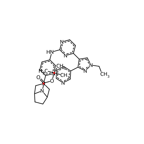 CCn1cc(-c2ccnc(Nc3ccc(N4CC5CCC(C4)N5C(=O)OC(C)(C)C)nc3)n2)c(-c2cccnc2)n1